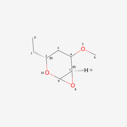 CC[C@@H]1CC(OC)[C@H]2OC2O1